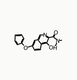 CN(C)C(=O)c1ncc2cc(Oc3ccccc3)ccc2c1O